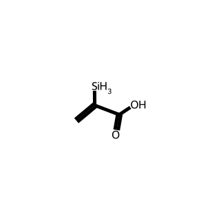 C=C([SiH3])C(=O)O